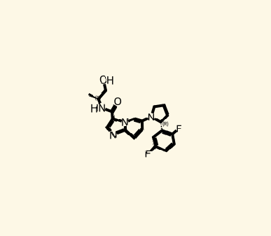 C[C@@H](CO)NC(=O)c1cnc2ccc(N3CCC[C@@H]3c3cc(F)ccc3F)cn12